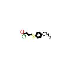 Cc1ccc(SCCCC(=O)Cl)cc1